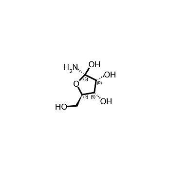 N[C@@]1(O)O[C@H](CO)[C@@H](O)[C@H]1O